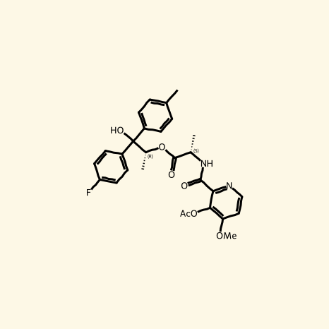 COc1ccnc(C(=O)N[C@@H](C)C(=O)O[C@H](C)C(O)(c2ccc(C)cc2)c2ccc(F)cc2)c1OC(C)=O